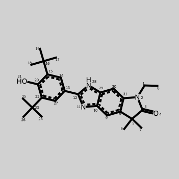 CCN1C(=O)C(C)(C)c2cc3nc(-c4cc(C(C)(C)C)c(O)c(C(C)(C)C)c4)[nH]c3cc21